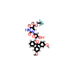 COc1ccc(C(OC[C@@H]2O[C@H](n3cc(C(=O)OCC(F)(F)F)c(=O)[nH]c3=O)CC2O)(c2ccccc2)c2ccc(OC)cc2)cc1